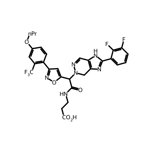 CCCOc1ccc(-c2cc(C(C(=O)NCCC(=O)O)N3Cc4nc(-c5cccc(F)c5F)[nH]c4C=N3)on2)c(C(F)(F)F)c1